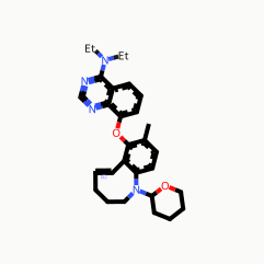 CCN(CC)c1ncnc2c(Oc3c(C)ccc4c3/C=C/CCCN4C3CCCCO3)cccc12